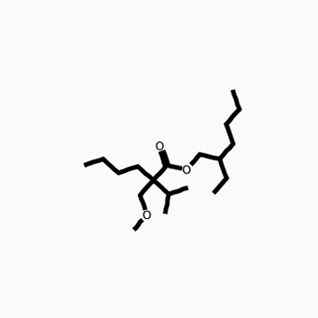 CCCCC(CC)COC(=O)C(CCCC)(COC)C(C)C